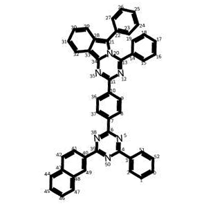 c1ccc(-c2nc(-c3ccc(-c4nc(-c5ccccc5)n5c(-c6ccccc6)c6ccccc6c5n4)cc3)nc(-c3ccc4ccccc4c3)n2)cc1